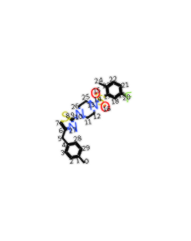 Cc1ccc(Cc2csc(N3CCN(S(=O)(=O)c4cc(F)ccc4C)CC3)n2)cc1